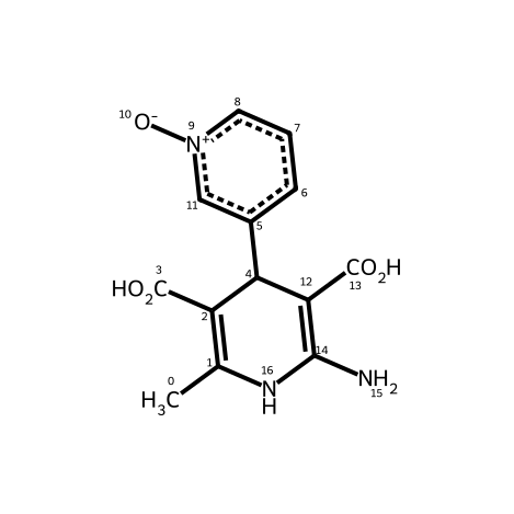 CC1=C(C(=O)O)C(c2ccc[n+]([O-])c2)C(C(=O)O)=C(N)N1